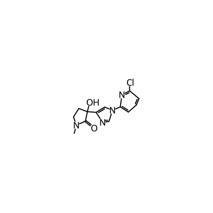 CN1CCC(O)(c2cn(-c3cccc(Cl)n3)cn2)C1=O